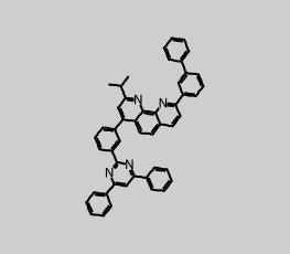 CC(C)c1cc(-c2cccc(-c3nc(-c4ccccc4)cc(-c4ccccc4)n3)c2)c2ccc3ccc(-c4cccc(-c5ccccc5)c4)nc3c2n1